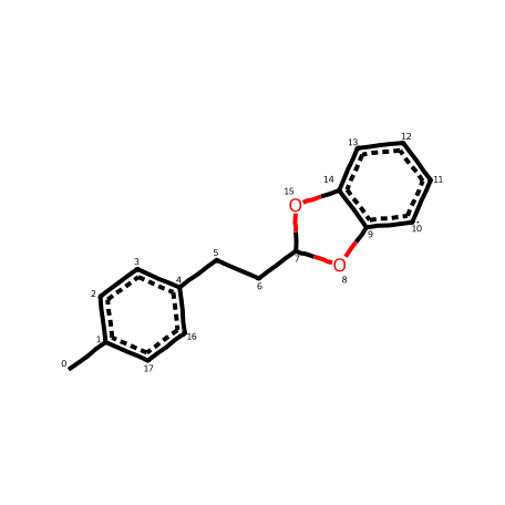 Cc1ccc(CCC2Oc3[c]cccc3O2)cc1